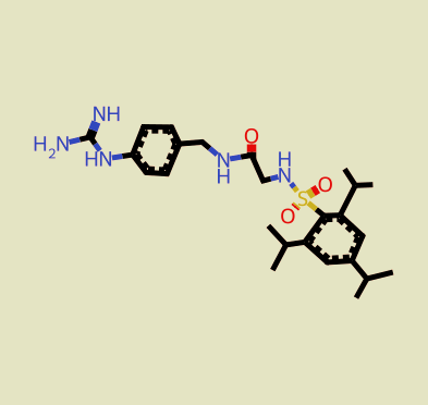 CC(C)c1cc(C(C)C)c(S(=O)(=O)NCC(=O)NCc2ccc(NC(=N)N)cc2)c(C(C)C)c1